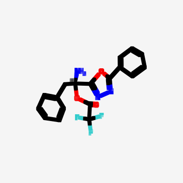 N[C@](Cc1ccccc1)(OC(=O)C(F)(F)F)c1nnc(-c2ccccc2)o1